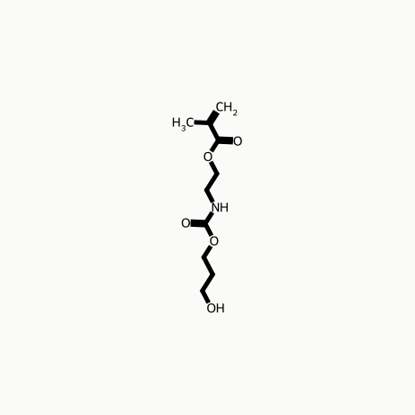 C=C(C)C(=O)OCCNC(=O)OCCCO